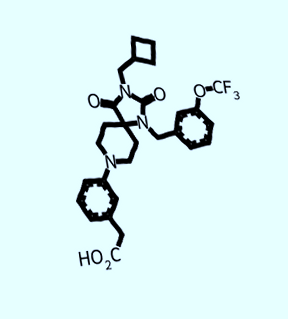 O=C(O)Cc1cccc(N2CCC3(CC2)C(=O)N(CC2CCC2)C(=O)N3Cc2cccc(OC(F)(F)F)c2)c1